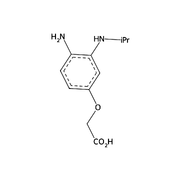 CC(C)Nc1cc(OCC(=O)O)ccc1N